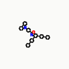 c1ccc(-c2ccc(-c3cc(-c4ccc(-c5ccccc5)cc4)c4nc(-c5ccc(-n6c7ccccc7c7ccccc76)cc5)oc4c3)cc2)cc1